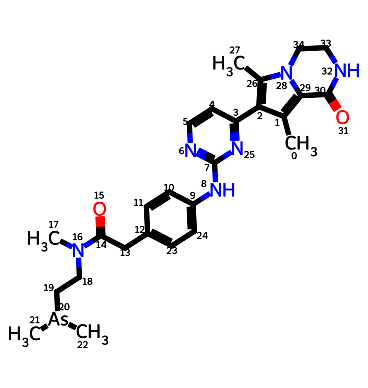 Cc1c(-c2ccnc(Nc3ccc(CC(=O)N(C)CC[As](C)C)cc3)n2)c(C)n2c1C(=O)NCC2